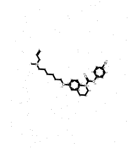 C=CCN(C)CCCCCCOc1ccc2c(c1)CCCN2C(=O)Oc1ccc(Br)cc1